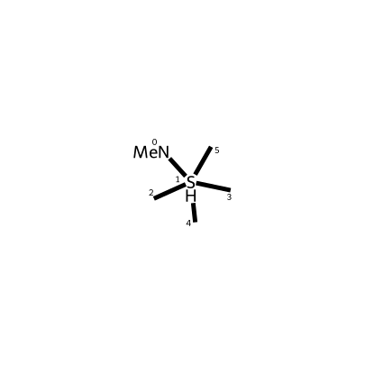 CN[SH](C)(C)(C)C